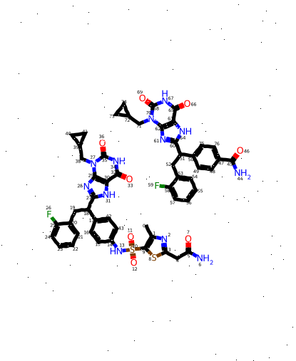 Cc1nc(CC(N)=O)sc1S(=O)(=O)Nc1ccc(C(Cc2ccccc2F)c2nc3c([nH]2)c(=O)[nH]c(=O)n3CC2CC2)cc1.NC(=O)c1ccc(C(Cc2ccccc2F)c2nc3c([nH]2)c(=O)[nH]c(=O)n3CC2CC2)cc1